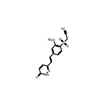 C#CCS(=O)(=O)c1ccc(/C=C/c2ccc(=O)[nH]n2)cc1OC